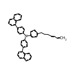 C=C/C=C/CCCc1ccc(N(c2ccc(-c3cccc4ccccc34)cc2)c2ccc(-c3cccc4ccccc34)cc2)cc1